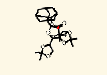 CC1(C)OCC(C(OC(=O)C23CC4CC(C2)C(OC(=O)C(C)(F)F)C(C4)C3)C2COC(C)(C)O2)O1